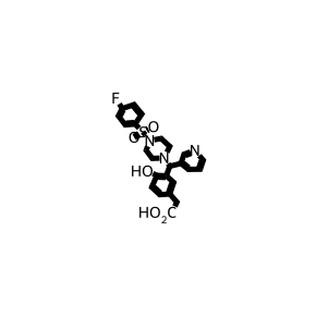 O=C(O)Cc1ccc(O)c(C(c2cccnc2)N2CCN(S(=O)(=O)c3ccc(F)cc3)CC2)c1